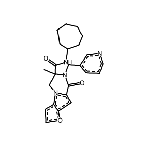 CC1(C(=O)NC2CCCCCC2)Cn2c(cc3occc32)C(=O)N1Cc1cccnc1